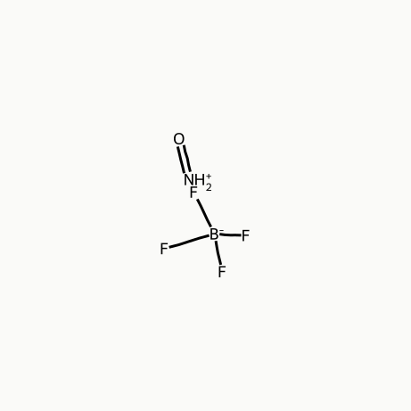 F[B-](F)(F)F.[NH2+]=O